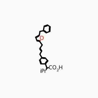 CC(C)C(C(=O)O)c1ccc(CC=CCc2ccc(Cc3ccccc3)o2)cc1